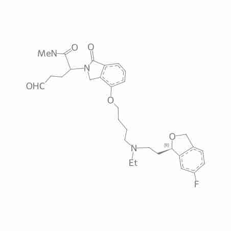 CCN(CCCCOc1cccc2c1CN(C(CCC=O)C(=O)NC)C2=O)CC[C@H]1OCc2ccc(F)cc21